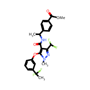 COC(=O)c1ccc(C(C)NC(=O)c2c(C(F)F)nn(C)c2Oc2cccc(C(C)(F)F)c2)cc1